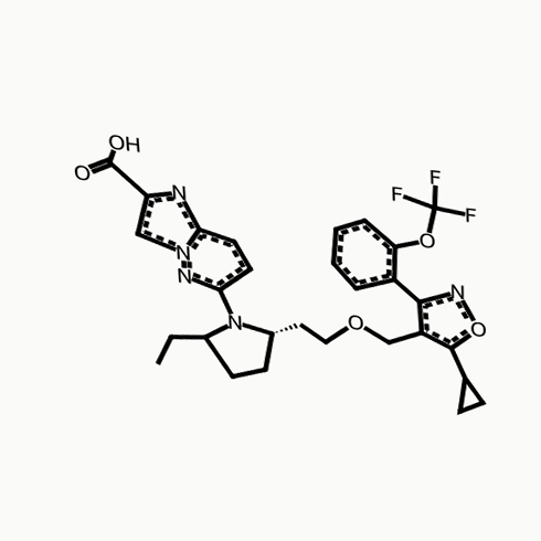 CCC1CC[C@@H](CCOCc2c(-c3ccccc3OC(F)(F)F)noc2C2CC2)N1c1ccc2nc(C(=O)O)cn2n1